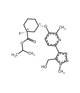 Cc1nc(-c2nnn(C)c2CO)ccc1O[C@H]1CCC[C@](F)(C(=O)OC(C)C)C1